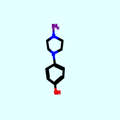 Oc1ccc(N2CCN(P)CC2)cc1